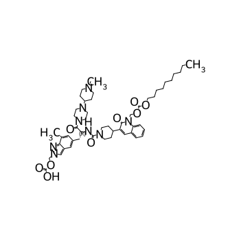 CCCCCCCCCCOC(=O)OCn1c(=O)c(C2CCN(C(=O)N[C@H](Cc3cc(C)c4nn(COC(=O)O)cc4c3)C(=O)N3CCN(C4CCN(C)CC4)CC3)CC2)cc2ccccc21